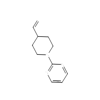 O=CC1CCN(c2ncccn2)CC1